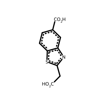 O=C(O)Cc1nc2cc(C(=O)O)ccc2s1